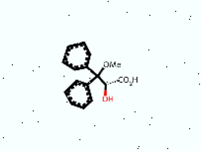 COC(c1ccccc1)(c1ccccc1)[C@@H](O)C(=O)O